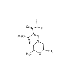 COC(=O)/C(=C\N1CC(C)OC(C)C1)C(=O)C(F)F